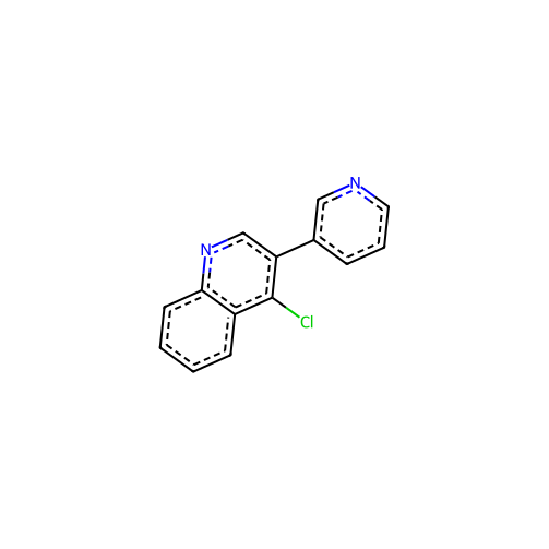 Clc1c(-c2cccnc2)cnc2ccccc12